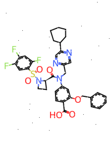 O=C(O)c1ccc(N(Cc2cnc(C3CCCCC3)cn2)C(=O)[C@H]2CCN2S(=O)(=O)c2cc(F)c(F)cc2F)cc1OCc1ccccc1